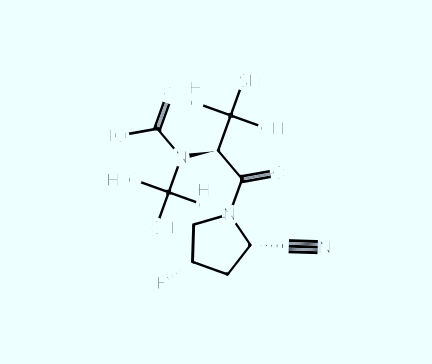 CC(C)(S)[C@@H](C(=O)N1C[C@@H](F)C[C@H]1C#N)N(C(=O)O)C(C)(C)C